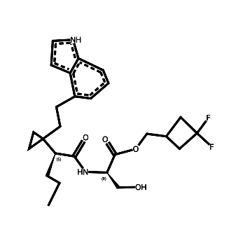 CCC[C@H](C(=O)N[C@H](CO)C(=O)OCC1CC(F)(F)C1)C1(CCc2cccc3[nH]ccc23)CC1